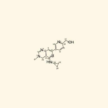 CN1C=Nc2cc(-c3ccc(CO)nc3)nc(NC3CC3)c2C1